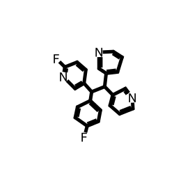 Fc1ccc(C(c2ccc(F)nc2)C(c2cccnc2)c2cccnc2)cc1